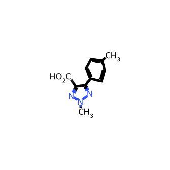 Cc1ccc(-c2nn(C)nc2C(=O)O)cc1